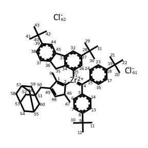 CC1=[C]([Zr+2](=[C](c2ccc(C(C)(C)C)cc2)c2ccc(C(C)(C)C)cc2)[c]2cc(C(C)(C)C)cc3c2Cc2ccc(C(C)(C)C)cc2-3)C(C)C=C1CC12CC3CC(CC(C3)C1)C2.[Cl-].[Cl-]